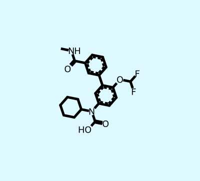 CNC(=O)c1cccc(-c2cc(N(C(=O)O)C3CCCCC3)ccc2OC(F)F)c1